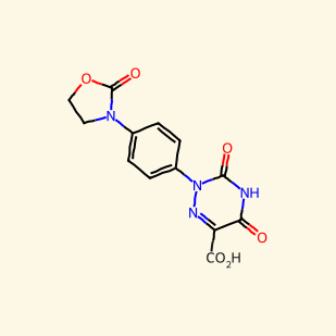 O=C(O)c1nn(-c2ccc(N3CCOC3=O)cc2)c(=O)[nH]c1=O